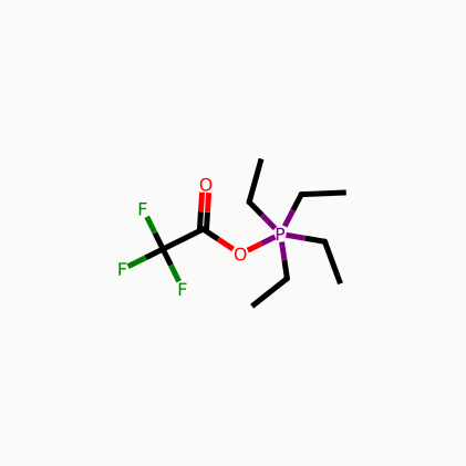 CCP(CC)(CC)(CC)OC(=O)C(F)(F)F